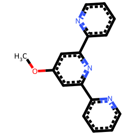 COc1cc(-c2ccccn2)nc(-c2ccccn2)c1